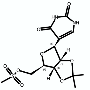 CC1(C)O[C@@H]2[C@H](O1)[C@@H](COS(C)(=O)=O)O[C@H]2c1c[nH]c(=O)[nH]c1=O